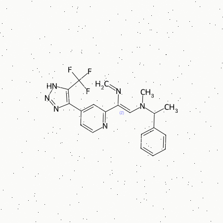 C=N/C(=C\N(C)C(C)c1ccccc1)c1cc(-c2nn[nH]c2C(F)(F)F)ccn1